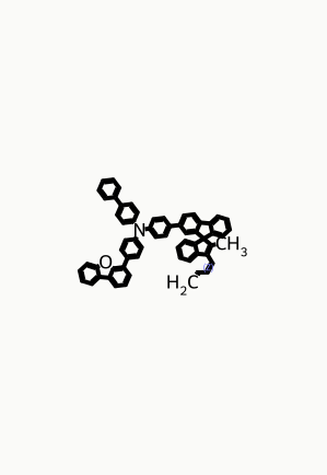 C=C/C=C\C1=C(C)C2(c3ccccc31)c1ccccc1-c1ccc(-c3ccc(N(c4ccc(-c5ccccc5)cc4)c4ccc(-c5cccc6c5oc5ccccc56)cc4)cc3)cc12